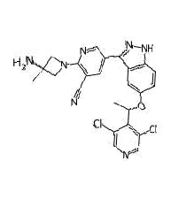 CC(Oc1ccc2[nH]nc(-c3cnc(N4CC(C)(N)C4)c(C#N)c3)c2c1)c1c(Cl)cncc1Cl